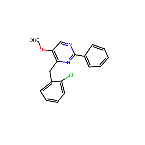 O=COc1cnc(-c2ccccc2)nc1Cc1ccccc1Cl